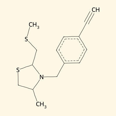 C#Cc1ccc(CN2C(C)CSC2CSC)cc1